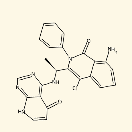 C[C@H](Nc1ncnc2[nH]ccc(=O)c12)c1c(Cl)c2cccc(N)c2c(=O)n1-c1ccccc1